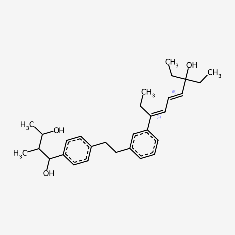 CC/C(=C\C=C\C(O)(CC)CC)c1cccc(CCc2ccc(C(O)C(C)C(C)O)cc2)c1